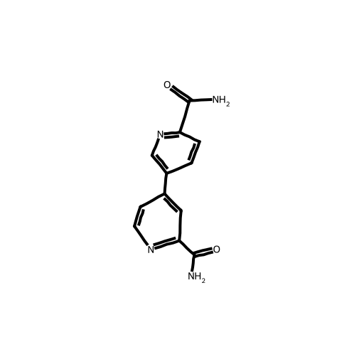 NC(=O)c1ccc(-c2ccnc(C(N)=O)c2)cn1